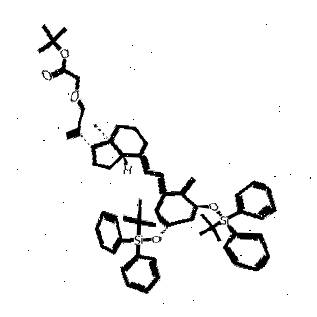 C=C1/C(=C/C=C2\CCC[C@]3(C)[C@@H](C(=C)COCC(=O)OC(C)(C)C)CC[C@@H]23)C[C@@H](O[Si](c2ccccc2)(c2ccccc2)C(C)(C)C)C[C@@H]1O[Si](c1ccccc1)(c1ccccc1)C(C)(C)C